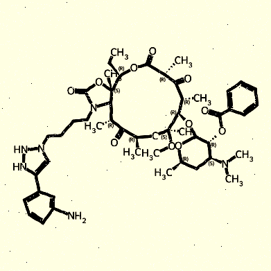 CC[C@H]1OC(=O)[C@H](C)C(=O)[C@H](C)[C@@H](OC2O[C@H](C)C[C@H](N(C)C)[C@H]2OC(=O)c2ccccc2)[C@@](C)(OC)C[C@@H](C)C(=O)[C@H](C)C2N(CCCCN3C=C(c4cccc(N)c4)NN3)C(=O)O[C@@]21C